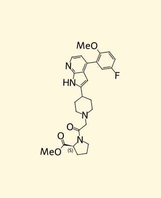 COC(=O)[C@@H]1CCCN1C(=O)CN1CCC(c2cc3c(-c4cc(F)ccc4OC)ccnc3[nH]2)CC1